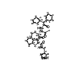 CC(=O)N(NC(=O)C(c1ccccc1)c1ccccc1)[C@H]1CCc2cccc3c2N(C1=O)[C@H](C(=O)NCc1c[nH]nn1)C3